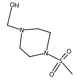 CS(=O)(=O)N1CCN(CO)CC1